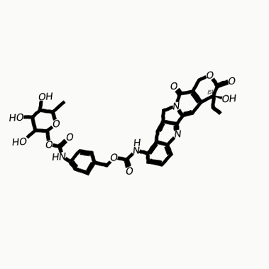 CC[C@@]1(O)C(=O)OCc2c1cc1n(c2=O)Cc2cc3c(NC(=O)OCc4ccc(NC(=O)OC5OC(C)C(O)C(O)C5O)cc4)cccc3nc2-1